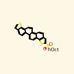 CCCCCCCCS(=O)(=O)c1cc2ccc3c4ccc5c(ccc6ccsc65)c4ccc3c2s1